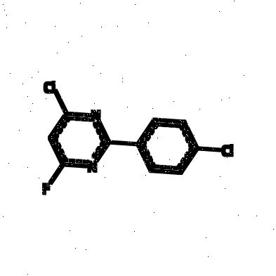 Fc1cc(Cl)nc(-c2ccc(Cl)cc2)n1